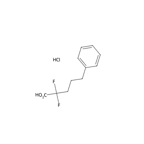 Cl.O=C(O)C(F)(F)CCCc1ccccc1